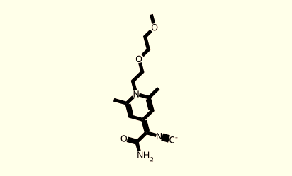 [C-]#[N+]C(C(N)=O)=C1C=C(C)N(CCOCCOC)C(C)=C1